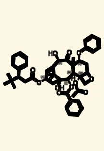 CC(=O)O[C@@]12COC1C[C@H](Oc1ccccc1)C1(C)C(=O)[C@H](O)C3=C[C@@H](OC(=O)CC(c4ccccc4)C(C)(C)C)CC(O)([C@@H](OC(=O)c4ccccc4)[C@@H]12)C3(C)C